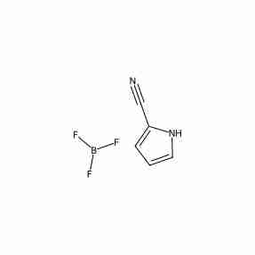 FB(F)F.N#Cc1ccc[nH]1